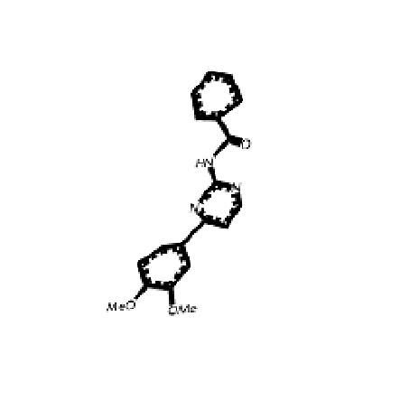 COc1ccc(-c2ccnc(NC(=O)c3ccccc3)n2)cc1OC